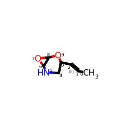 C/C=C/C1CNC2OC2O1